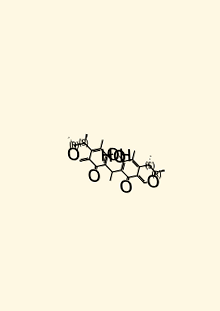 CC1=C2C(=CO[C@H](C)[C@H]2C)C(=O)C(C(C)C2=C(O)C(C)=C3C(=CO[C@H](C)[C@H]3C)C2=O)=C1O